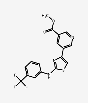 COC(=O)c1cncc(-c2csc(Nc3cccc(C(F)(F)F)c3)n2)c1